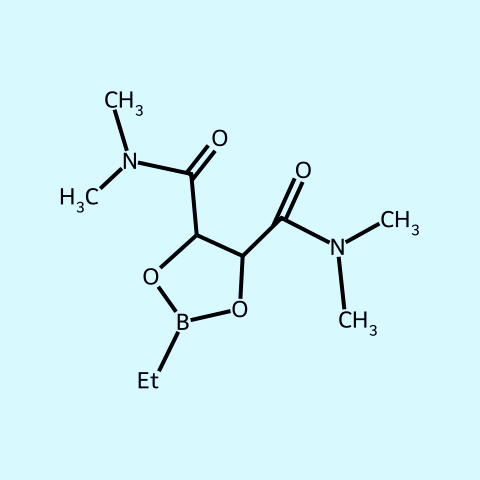 CCB1OC(C(=O)N(C)C)C(C(=O)N(C)C)O1